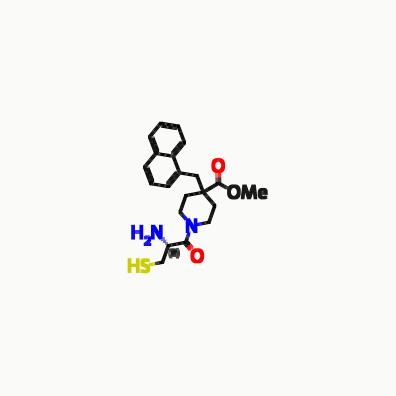 COC(=O)C1(Cc2cccc3ccccc23)CCN(C(=O)[C@@H](N)CS)CC1